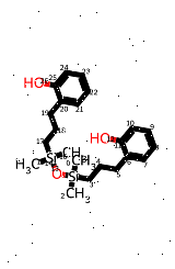 C[Si](C)(CCCc1ccccc1O)O[Si](C)(C)CCCc1ccccc1O